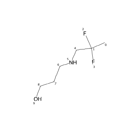 CC(F)(F)CNCCCO